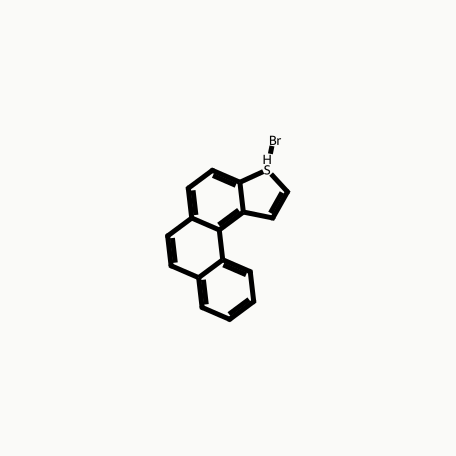 Br[SH]1C=Cc2c1ccc1ccc3ccccc3c21